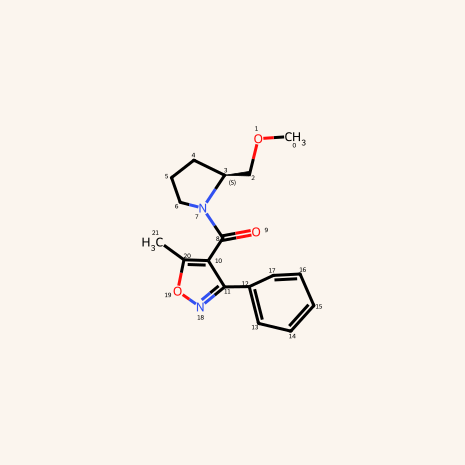 COC[C@@H]1CCCN1C(=O)c1c(-c2ccccc2)noc1C